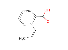 C/[C]=C\c1ccccc1C(=O)O